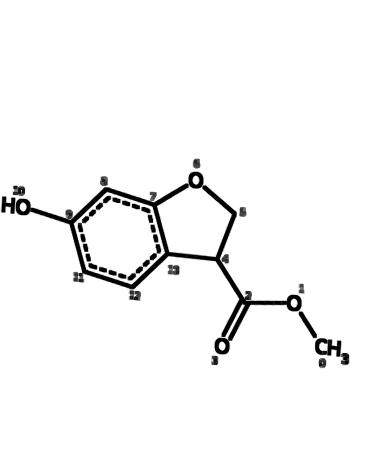 COC(=O)C1COc2cc(O)ccc21